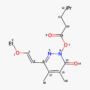 CCO/C=C/c1nn(OC(=O)CCC(C)C)c(=O)c(C)c1C